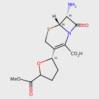 COC(=O)C1CC[C@@H](C2=C(C(=O)O)N3C(=O)[C@@H](N)[C@H]3SC2)O1